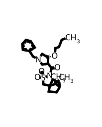 CCCCO[C@H]1CN(Cc2ccccc2)CC1C(=O)N1C2CC3CCC2(CS1(=O)=O)C3(C)C